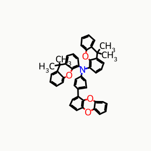 CC1(C)c2ccccc2Oc2c(N(c3ccc(-c4cccc5c4Oc4ccccc4O5)cc3)c3cccc4c3Oc3ccccc3C4(C)C)cccc21